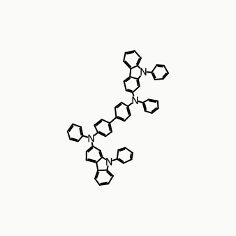 c1ccc(N(c2ccc(-c3ccc(N(c4ccccc4)c4ccc5c6ccccc6n(-c6ccccc6)c5c4)cc3)cc2)c2ccc3c4ccccc4n(-c4ccccc4)c3c2)cc1